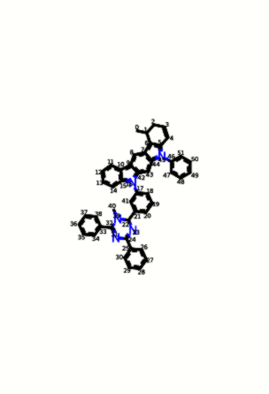 CC1CC=Cc2c1c1cc3c4ccccc4n(-c4cccc(C5N=C(c6ccccc6)N=C(c6ccccc6)N5C)c4)c3cc1n2-c1ccccc1